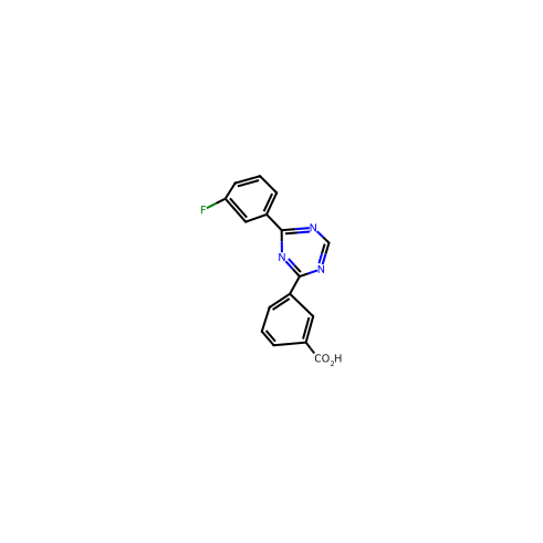 O=C(O)c1cccc(-c2ncnc(-c3cccc(F)c3)n2)c1